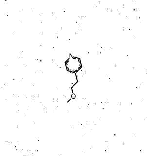 CO[CH]Cc1ccncc1